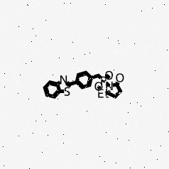 CCOP(=O)(Cc1ccc(-c2nc3ccccc3s2)cc1)N1CCCC1=O